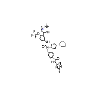 CN/N=N\C(=N)c1cc(NC(=O)N(Cc2ccc(C(=O)Nc3nn[nH]n3)cc2)c2ccc(C3CCCCC3)cc2)ccc1OC(F)(F)F